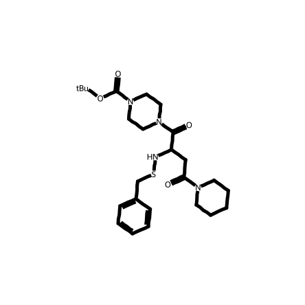 CC(C)(C)OC(=O)N1CCN(C(=O)C(CC(=O)N2CCCCC2)NSCc2ccccc2)CC1